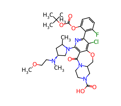 COCCN(C)[C@H]1CC(C)N(c2nc(-c3c(F)cccc3OC(=O)OC(C)(C)C)c(Cl)c3c2C(=O)N2CCN(C(=O)O)CC2CO3)C1